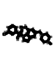 COc1cc(CN2CCN(C)CC2)cc2ccn(S(=O)(=O)c3cccc(Cl)c3)c12